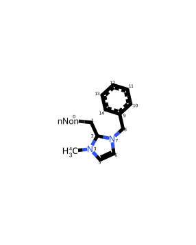 CCCCCCCCCCC1N(C)C=CN1Cc1ccccc1